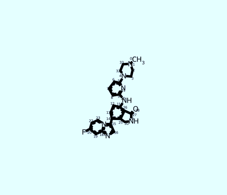 CN1CCN(c2cccc(Nc3ccc(-c4cnc5cc(F)ccn45)c4c3C(=O)NC4)n2)CC1